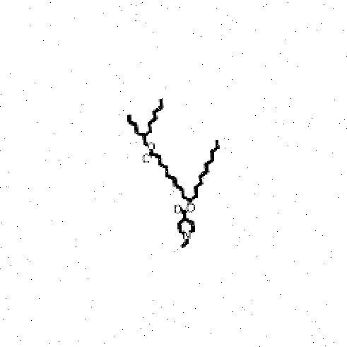 CCCCCCCCCCC(CCCCCCCCC(=O)OCC(CCCC)CCCCCC)OC(=O)C1CCN(CC)CC1